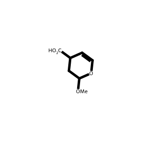 COC1CC(C(=O)O)C=CO1